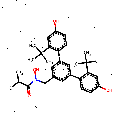 CC(C)C(=O)N(O)Cc1cc(-c2ccc(O)cc2C(C)(C)C)cc(-c2ccc(O)cc2C(C)(C)C)c1